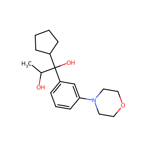 CC(O)C(O)(c1cccc(N2CCOCC2)c1)C1CCCC1